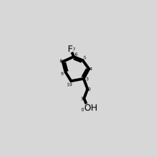 OCCC1=CC=C(F)C=CC1